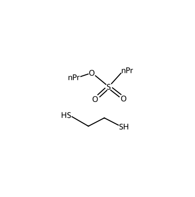 CCCOS(=O)(=O)CCC.SCCS